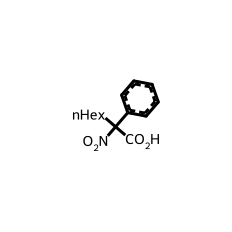 CCCCCCC(C(=O)O)(c1ccccc1)[N+](=O)[O-]